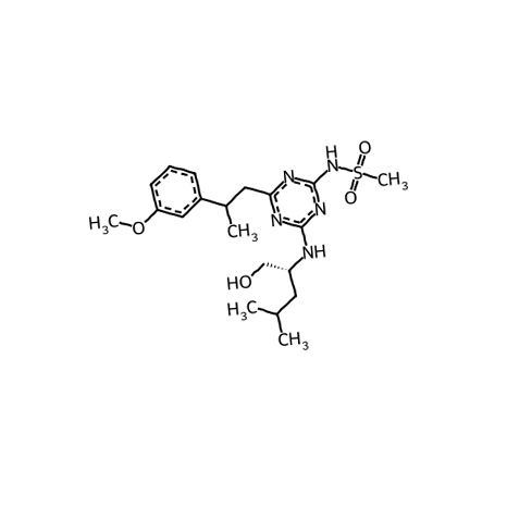 COc1cccc(C(C)Cc2nc(N[C@@H](CO)CC(C)C)nc(NS(C)(=O)=O)n2)c1